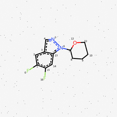 Fc1cc2cnn(C3CCCCO3)c2cc1F